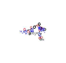 CC1CN(C(=O)OC(C)(C)C)CCN1CCOc1cc(N2C3CCC2CN(c2cc(-c4ccccc4OCc4ccc(NC(=O)[C@H](CCCNC(N)=O)NC(=O)C5(C(=O)O)CCC5)cc4)nnc2N)C3)ccn1